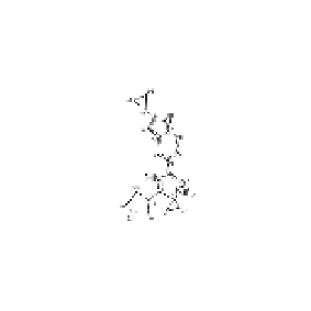 NC1(C(NC(=O)c2ccc3oc(C4CC4)cc3c2)C2CCCC2)CC1